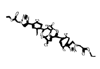 CCOC(=O)Cn1cc(-c2cc(C)c(C(=O)c3[nH]c(Cl)c(Cl)c3-n3c(C(=O)c4cc(Cl)c(-c5cn(CC(=O)OCC)nn5)cc4OC)cc(Cl)c3Cl)cc2Cl)nn1